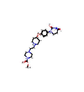 CC(C)(C)OC(=O)N1CCN(CCN2CCC(Oc3ccc(N4CCC(=O)NC4=O)cc3)CC2)CC1